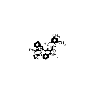 Cc1cc(C)c(OCC(=O)[C@@H](C(N)c2ccccc2)[C@H](O)C[C@H](Cc2ccccc2)NC(=O)C(C(C)C)N2CCNC2=O)c(C)c1